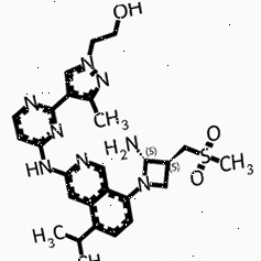 Cc1nn(CCO)cc1-c1nccc(Nc2cc3c(C(C)C)ccc(N4C[C@H](CS(C)(=O)=O)[C@H]4N)c3cn2)n1